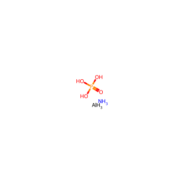 N.O=P(O)(O)O.[AlH3]